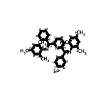 Cc1cc(C)c(N=C(c2ccccc2)c2cccc(C(=Nc3c(C)cc(C)cc3C)c3ccccc3)n2)c(C)c1.[Co]